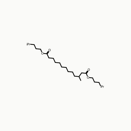 CC(C)CCCOC(=O)CCCCCCCCCC(C)CC(=O)OCCCC(C)C